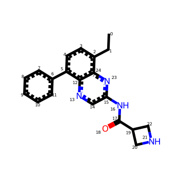 CCc1ccc(-c2ccccc2)c2ncc(NC(=O)C3CNC3)nc12